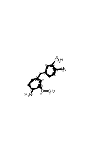 Nc1ccc(Cc2ccc(N)c(C(=O)O)c2)cc1OC=O